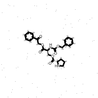 O=C(N[C@@H](COC(=O)[C@@H]1CCCN1)C(=O)OCC(=O)c1ccccc1)OCc1ccccc1